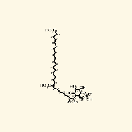 CCCCCCCCCC(CCCCCCC(CCCCCCCCCCCCCCCCCC(=O)O)C(=O)O)OC1C(O)C(O)C(O)C(OP(=O)(O)O)C1O